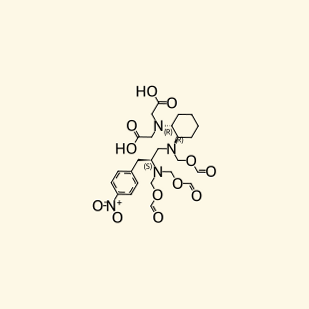 O=COCN(COC=O)[C@@H](Cc1ccc([N+](=O)[O-])cc1)CN(COC=O)[C@@H]1CCCC[C@H]1N(CC(=O)O)CC(=O)O